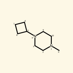 CN1CCN(C2CCC2)CC1